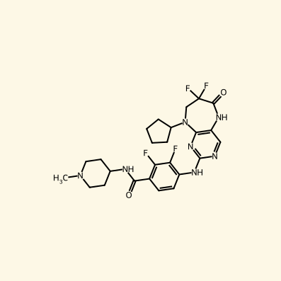 CN1CCC(NC(=O)c2ccc(Nc3ncc4c(n3)N(C3CCCC3)CC(F)(F)C(=O)N4)c(F)c2F)CC1